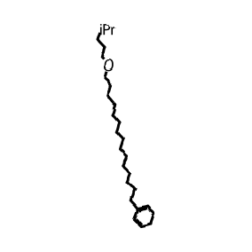 CC(C)CCCOCCCCCCCCCCCCCCCC1=CCCC=C1